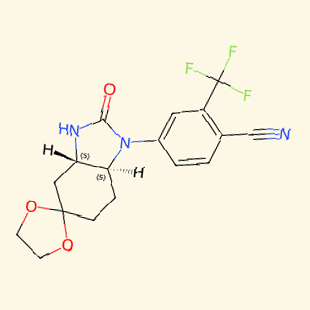 N#Cc1ccc(N2C(=O)N[C@H]3CC4(CC[C@@H]32)OCCO4)cc1C(F)(F)F